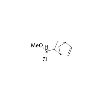 CO[SiH](Cl)C1CC2C=CC1C2